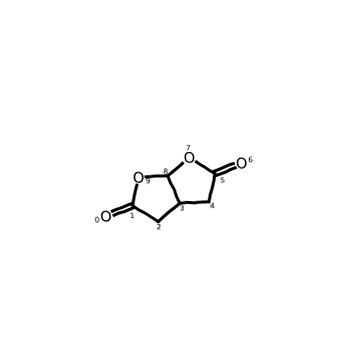 O=C1CC2CC(=O)OC2O1